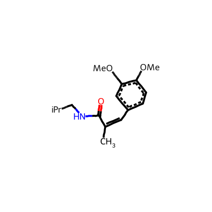 COc1ccc(C=C(C)C(=O)NCC(C)C)cc1OC